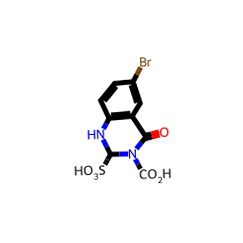 O=C(O)N1C(=O)c2cc(Br)ccc2NC1S(=O)(=O)O